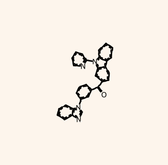 O=C(c1cccc(-n2cnc3ccccc32)c1)c1ccc2c3ccccc3n(-c3ccccn3)c2c1